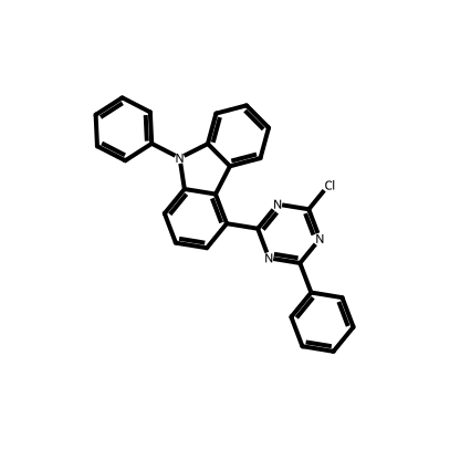 Clc1nc(-c2ccccc2)nc(-c2cccc3c2c2ccccc2n3-c2ccccc2)n1